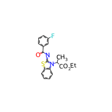 CCOC(=O)C(C)n1c(=NC(=O)c2cccc(F)c2)sc2ccccc21